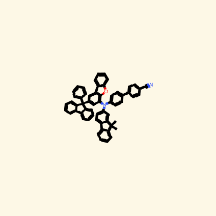 CC1(C)c2ccccc2-c2ccc(N(c3ccc(-c4ccc(C#N)cc4)cc3)c3cc(C4(c5ccccc5)c5ccccc5-c5ccccc54)cc4c3oc3ccccc34)cc21